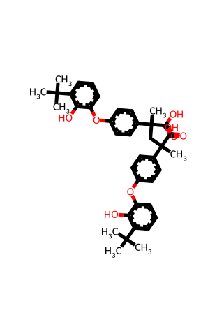 CC(C)(C)c1cccc(Oc2ccc(C(C)(CC(C)(C(=O)O)c3ccc(Oc4cccc(C(C)(C)C)c4O)cc3)C(=O)O)cc2)c1O